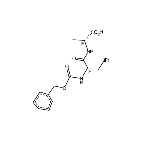 CC(C)C[C@H](NC(=O)OCc1ccccc1)C(=O)N[C@H](C)C(=O)O